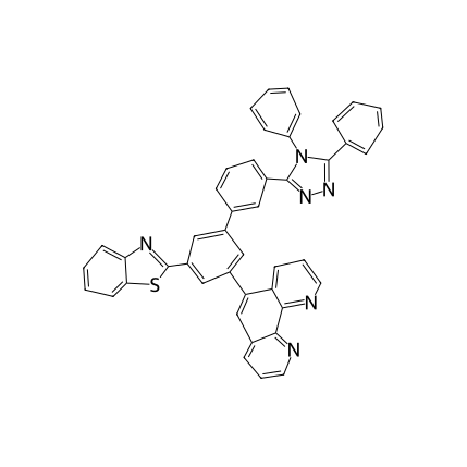 c1ccc(-c2nnc(-c3cccc(-c4cc(-c5nc6ccccc6s5)cc(-c5cc6cccnc6c6ncccc56)c4)c3)n2-c2ccccc2)cc1